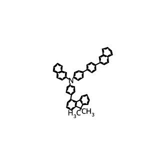 CC1(C)c2ccccc2-c2c(-c3ccc(N(c4ccc(-c5ccc(-c6ccc7ccccc7c6)cc5)cc4)c4ccc5ccccc5c4)cc3)cccc21